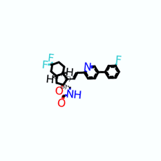 O=C1NC[C@@]2(C[C@H]3CC(F)(F)CC[C@@H]3[C@H]2C=Cc2ccc(-c3cccc(F)c3)cn2)O1